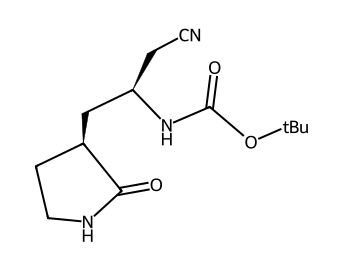 CC(C)(C)OC(=O)N[C@H](CC#N)C[C@@H]1CCNC1=O